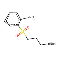 CCCCCCCCCCCCS(=O)(=O)c1ccccc1[N+](=O)[O-]